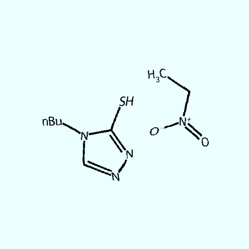 CCCCn1cnnc1S.CC[N+](=O)[O-]